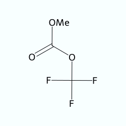 [CH2]OC(=O)OC(F)(F)F